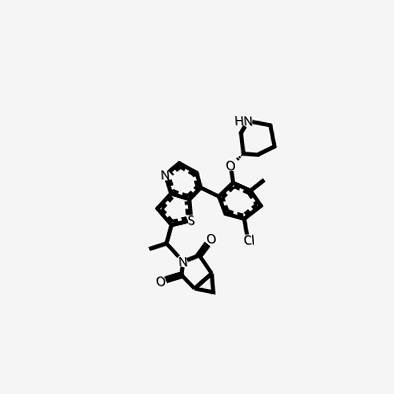 Cc1cc(Cl)cc(-c2ccnc3cc(C(C)N4C(=O)C5CC5C4=O)sc23)c1O[C@H]1CCCNC1